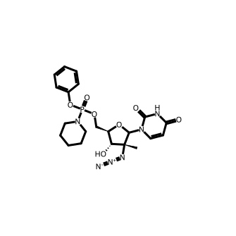 C[C@]1(N=[N+]=[N-])C(n2ccc(=O)[nH]c2=O)O[C@H](COP(=O)(Oc2ccccc2)N2CCCCC2)[C@H]1O